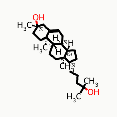 CC(C)(O)CCC[C@H]1CC[C@H]2[C@@H]3CC=C4C[C@@](C)(O)CC[C@]4(C)[C@H]3CC[C@]12C